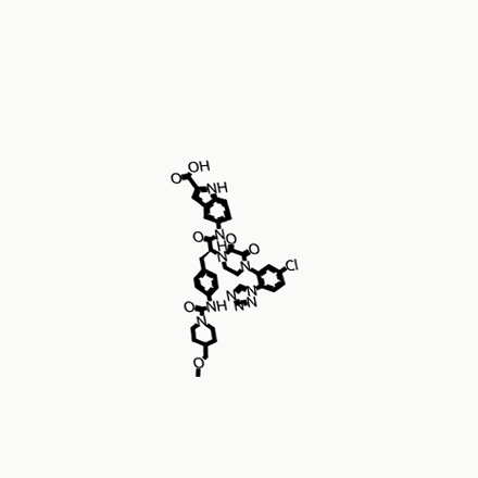 COCC1CCN(C(=O)Nc2ccc(C[C@@H](C(=O)Nc3ccc4[nH]c(C(=O)O)cc4c3)N3CCN(c4cc(Cl)ccc4-n4cnnn4)C(=O)C3=O)cc2)CC1